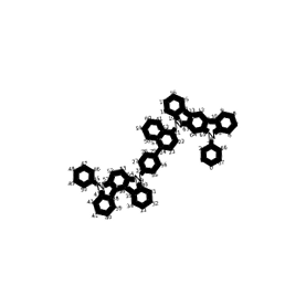 c1ccc(-n2c3ccccc3c3cc4c5ccccc5n(-c5ccc(-c6ccc(-n7c8ccccc8c8c9c%10ccccc%10n(-c%10ccccc%10)c9ccc87)cc6)c6ccccc56)c4cc32)cc1